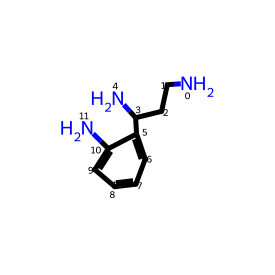 NCCC(N)c1cc[c]cc1N